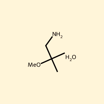 COC(C)(C)CN.O